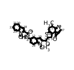 CC1CC2=C(CC(C(=O)c3cc4cc(NC(=O)c5cc6ccccc6n5C)ccc4n3C)S2)C23C(=O)C2=CN=C13